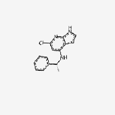 C[C@@H](Nc1cc(Cl)nc2[nH]ccc12)c1ccccc1